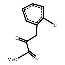 COC(=O)C(=O)Cc1ccccc1Cl